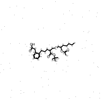 CCCCCC(CCCC(CCCc1ccccc1CC(=O)O)C(=O)OC(C)(C)C)OC(C)=O